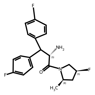 C[C@@H]1C[C@H](F)CN1C(=O)[C@@H](N)C(c1ccc(F)cc1)c1ccc(F)cc1